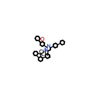 CC1(C)c2ccccc2-c2cccc(-c3cccc(-c4cc(-c5ccc(-c6ccccc6)cc5)nc(-c5ccc6c(c5)oc5ccccc56)n4)c3)c21